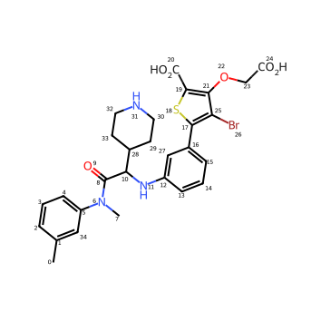 Cc1cccc(N(C)C(=O)C(Nc2cccc(-c3sc(C(=O)O)c(OCC(=O)O)c3Br)c2)C2CCNCC2)c1